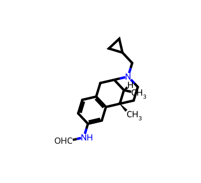 C[C@H]1C2Cc3ccc(NC=O)cc3[C@@]1(C)CCN2CC1CC1